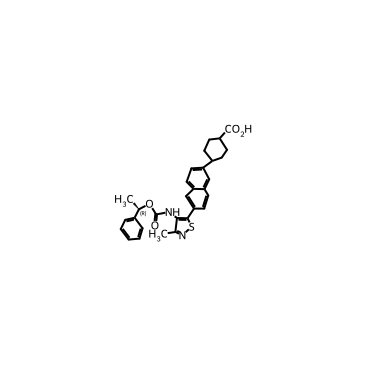 Cc1nsc(-c2ccc3cc(C4CCC(C(=O)O)CC4)ccc3c2)c1NC(=O)O[C@H](C)c1ccccc1